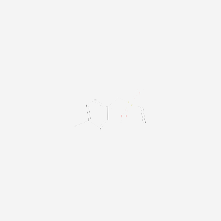 C=CS(=O)(=O)Cc1ccc(C)cc1